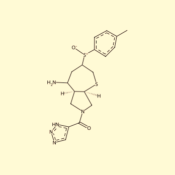 Cc1ccc([S+]([O-])C2CS[C@H]3CN(C(=O)c4cnn[nH]4)C[C@H]3C(N)C2)cc1